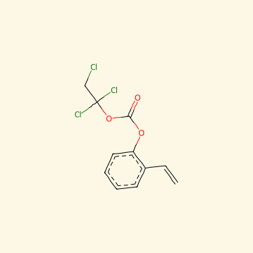 C=Cc1ccccc1OC(=O)OC(Cl)(Cl)CCl